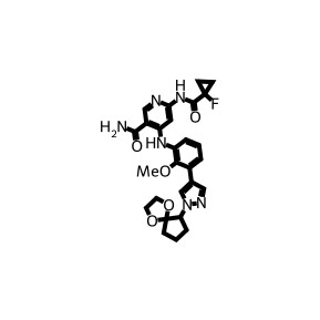 COc1c(Nc2cc(NC(=O)C3(F)CC3)ncc2C(N)=O)cccc1-c1cnn(C2CCCC23OCCO3)c1